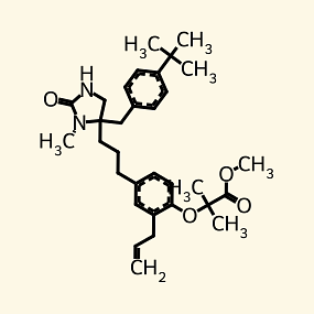 C=CCc1cc(CCCC2(Cc3ccc(C(C)(C)C)cc3)CNC(=O)N2C)ccc1OC(C)(C)C(=O)OC